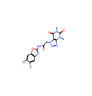 Cn1c(=O)c2c(nnn2CC(=O)Nc2nc3cc(Cl)c(Cl)cc3o2)n(C)c1=O